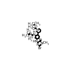 Cn1cc(Br)nc(Nc2ccc(C3CCCN(C(=O)OC(C)(C)C)C3)c(NC(=O)OC(C)(C)C)c2)c1=O